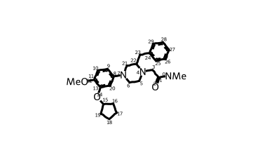 CNC(=O)CN1CCN(c2ccc(OC)c(OC3CCCC3)c2)CC1Cc1ccccc1